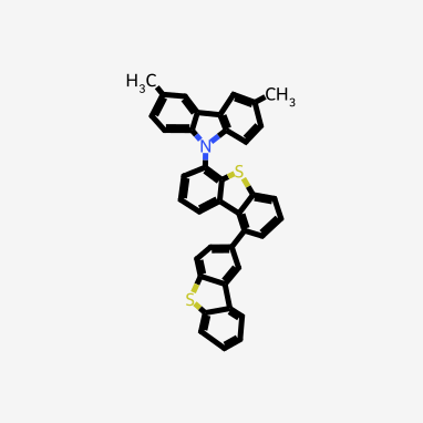 Cc1ccc2c(c1)c1cc(C)ccc1n2-c1cccc2c1sc1cccc(-c3ccc4sc5ccccc5c4c3)c12